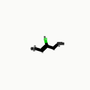 [CH2]C=C(Cl)COC